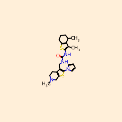 Cc1c(NC(=O)NCc2c(-n3cccc3)sc3c2CCN(C)C3)sc2c1C(C)CCC2